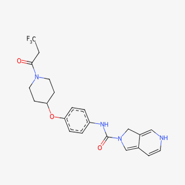 O=C(Nc1ccc(OC2CCN(C(=O)CC(F)(F)F)CC2)cc1)N1C=C2C=CNC=C2C1